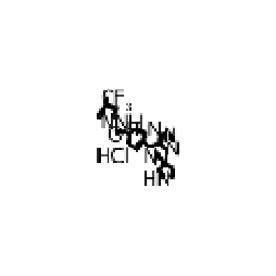 Cl.Nc1ncnc2c1c(-c1ccc(C(=O)Nc3cc(C(F)(F)F)ccn3)cc1)nn2C1CCNC1